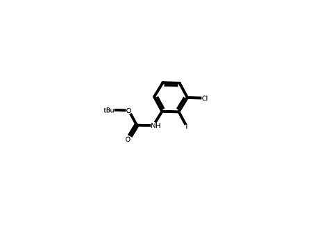 CC(C)(C)OC(=O)Nc1cccc(Cl)c1I